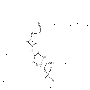 C#CCOC1CC(OC2CCN(C(=O)OC(C)(C)C)CC2)C1